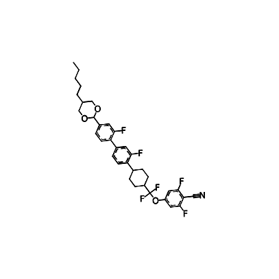 CCCCCC1COC(c2ccc(-c3ccc(C4CCC(C(F)(F)Oc5cc(F)c(C#N)c(F)c5)CC4)c(F)c3)c(F)c2)OC1